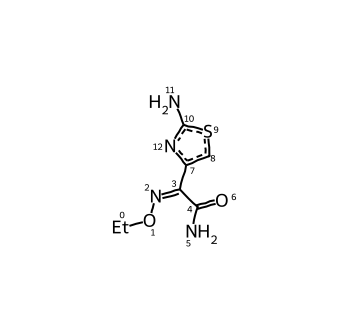 CCO/N=C(\C(N)=O)c1csc(N)n1